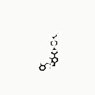 Cc1c(-c2cnc(N3CCN(C(=O)CO)[C@H](C)C3)nc2)ccc2c(=O)n(C)n(Cc3ccccc3Cl)c12